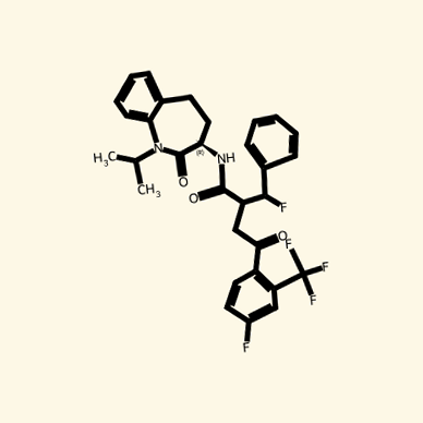 CC(C)N1C(=O)[C@H](NC(=O)C(CC(=O)c2ccc(F)cc2C(F)(F)F)C(F)c2ccccc2)CCc2ccccc21